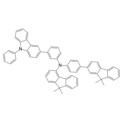 CC1(C)c2ccccc2-c2ccc(-c3ccc(N(c4cccc(-c5ccc6c(c5)c5ccccc5n6-c5ccccc5)c4)c4cccc5c4-c4ccccc4C5(C)C)cc3)cc21